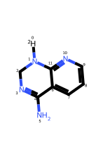 [2H]N1CN=C(N)c2cccnc21